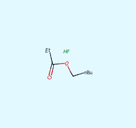 CCCCCOC(=O)CC.F